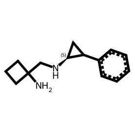 NC1(CN[C@H]2CC2c2ccccc2)CCC1